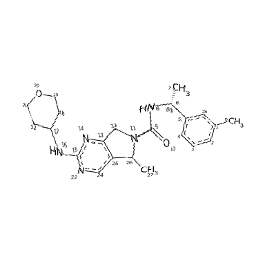 Cc1cccc([C@@H](C)NC(=O)N2Cc3nc(NC4CCOCC4)ncc3C2C)c1